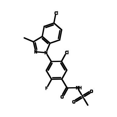 Cc1nn(-c2cc(F)c(C(=O)NS(C)(=O)=O)cc2Cl)c2ccc(Cl)cc12